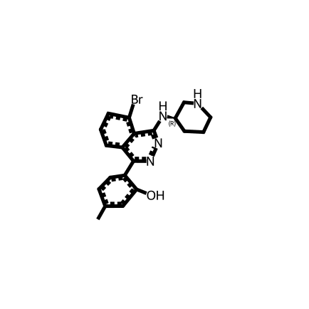 Cc1ccc(-c2nnc(N[C@@H]3CCCNC3)c3c(Br)cccc23)c(O)c1